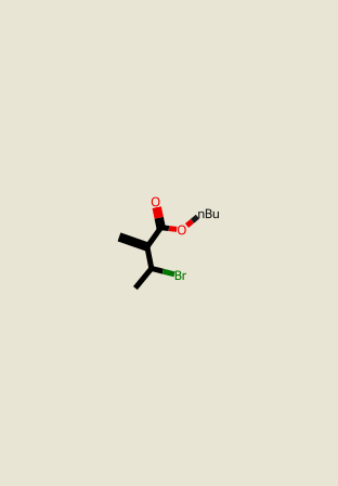 C=C(C(=O)OCCCC)C(C)Br